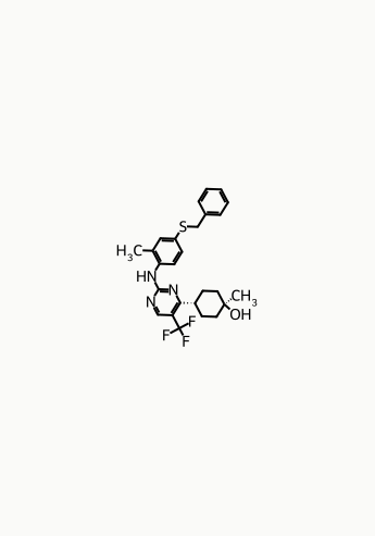 Cc1cc(SCc2ccccc2)ccc1Nc1ncc(C(F)(F)F)c([C@H]2CC[C@](C)(O)CC2)n1